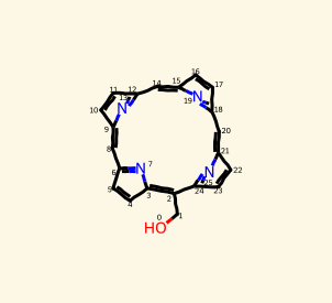 OCC1=C2C=CC(=N2)C=C2C=CC(=N2)C=C2C=CC(=N2)C=C2C=CC1=N2